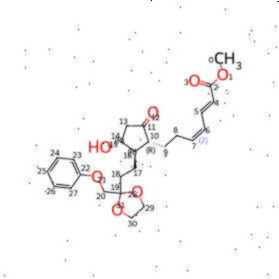 COC(=O)C=C/C=C\CC[C@H]1C(=O)C[C@@H](O)[C@@H]1CCC1(COc2ccccc2)OCCO1